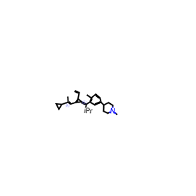 C=CC1=C(/C=C(\C)C2CC2)C/1=C(/c1cc(C2CCN(C)CC2)ccc1C)C(C)C